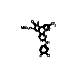 O=C(O)c1cc2c3cnc(Nc4ccc(F)c(Cl)c4)nc3n3nc(C(F)(F)F)cc3c2[nH]c1=O